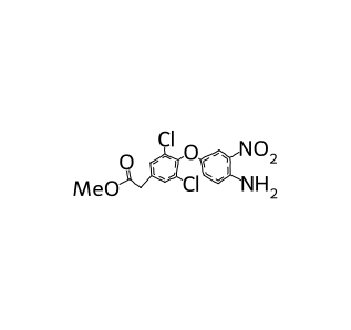 COC(=O)Cc1cc(Cl)c(Oc2ccc(N)c([N+](=O)[O-])c2)c(Cl)c1